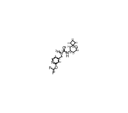 [2H]N(Cc1ccnc(OC(F)F)c1)C(=O)N[C@@H]1CCOC2(CCC2)C1